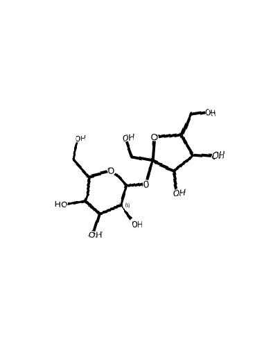 OCC1OC(OC2(CO)OC(CO)C(O)C2O)[C@@H](O)C(O)C1O